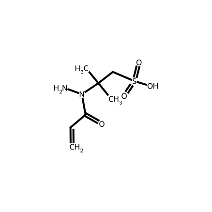 C=CC(=O)N(N)C(C)(C)CS(=O)(=O)O